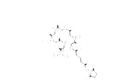 CCN(C)C(=O)CN(C)C(=O)CN(C)C(=O)CN(C)C(=O)CN(C)C(=O)CN(C)C(=O)CN(C)C(=O)CCCC(=O)ON1C(=O)CCC1=O